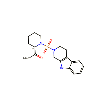 COC(=O)[C@H]1CCCCN1S(=O)(=O)N1CCc2c([nH]c3ccccc23)C1